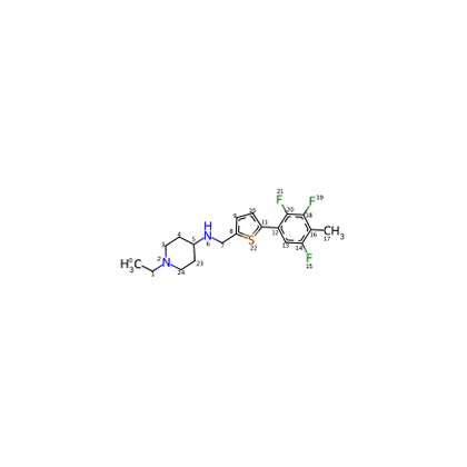 CCN1CCC(NCc2ccc(-c3cc(F)c(C)c(F)c3F)s2)CC1